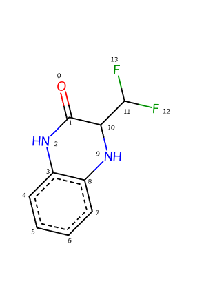 O=C1Nc2ccccc2NC1C(F)F